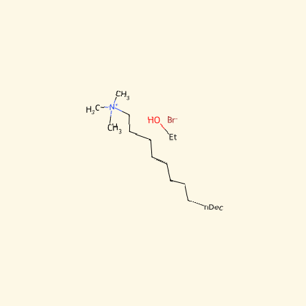 CCCCCCCCCCCCCCCCCC[N+](C)(C)C.CCO.[Br-]